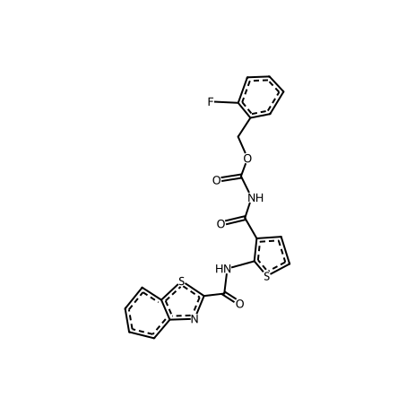 O=C(NC(=O)c1ccsc1NC(=O)c1nc2ccccc2s1)OCc1ccccc1F